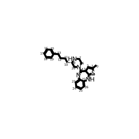 CC1=CC2C(N3CCN[C@@H](CCCCc4ccccc4)C3)=Nc3ccccc3NC2S1